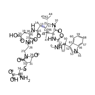 CN[C@H](C(=O)NC(C(=O)N(C)[C@H](/C=C(\C)C(=O)N[C@H](CC(=O)O)C(=O)NCCN1C(=O)CC(SC[C@H](N)C(=O)O)C1=O)C(C)C)C(C)(C)C)C(C)(C)c1cn(C)c2ccccc12